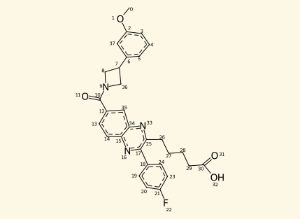 COc1cccc(C2CN(C(=O)c3ccc4nc(-c5ccc(F)cc5)c(CCCCC(=O)O)nc4c3)C2)c1